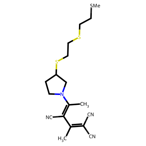 CSCCSCCSC1CCN(/C(C)=C(\C#N)C(C)=C(C#N)C#N)C1